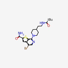 CC(C)(C)C(=O)NCCC1CCN(c2ncc(Br)c3cc(C(N)=O)sc23)CC1